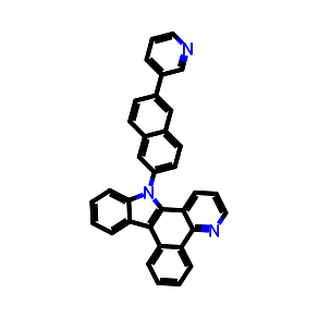 c1cncc(-c2ccc3cc(-n4c5ccccc5c5c6ccccc6c6ncccc6c54)ccc3c2)c1